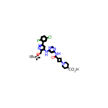 CC(C)(C)[Si](C)(C)OCc1nnc(-c2cc(Cl)ccc2F)cc1Nc1cc(NC(=O)C2CC(N3CCC(C(=O)O)CC3)C2)ncn1